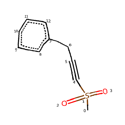 CS(=O)(=O)C#CCc1ccccc1